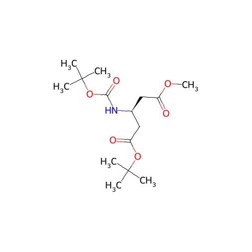 COC(=O)C[C@@H](CC(=O)OC(C)(C)C)NC(=O)OC(C)(C)C